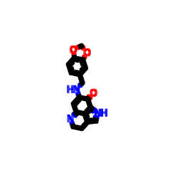 O=C1C(NCc2ccc3c(c2)OCO3)=CC2=NCCc3c[nH]c1c32